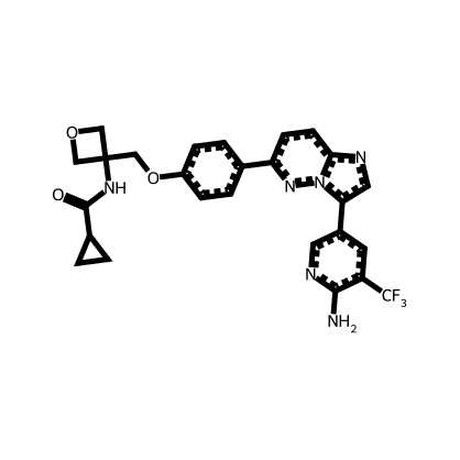 Nc1ncc(-c2cnc3ccc(-c4ccc(OCC5(NC(=O)C6CC6)COC5)cc4)nn23)cc1C(F)(F)F